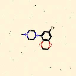 CCc1cc2c(c(N3CCN(C)CC3)c1)OCCO2